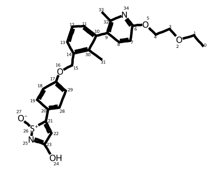 CCOCCOc1ccc(-c2cccc(COc3ccc(-c4cc(O)n[s+]4[O-])cc3)c2C)c(C)n1